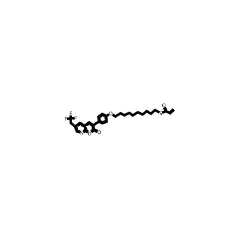 C=CC(=O)SCCCCCCCCCCOc1ccc(-c2cc3cc(CC(F)(F)F)cnc3oc2=O)cc1